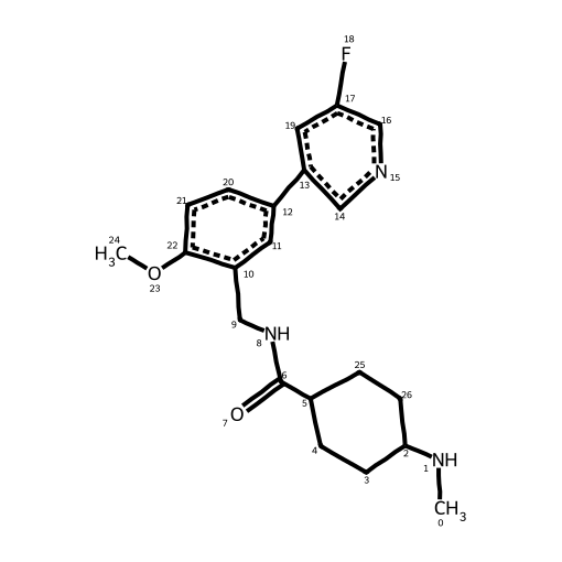 CNC1CCC(C(=O)NCc2cc(-c3cncc(F)c3)ccc2OC)CC1